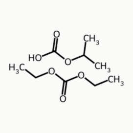 CC(C)OC(=O)O.CCOC(=O)OCC